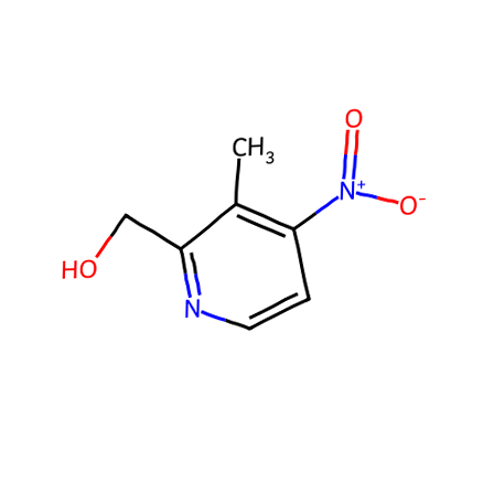 Cc1c([N+](=O)[O-])ccnc1CO